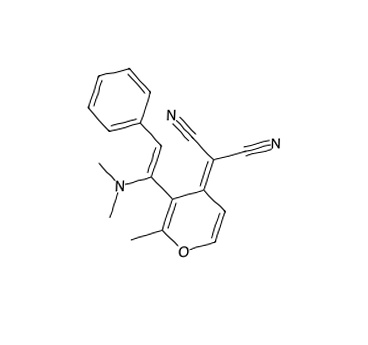 CC1=C(C(=Cc2ccccc2)N(C)C)C(=C(C#N)C#N)C=CO1